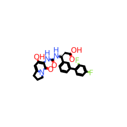 O=C(O)C[C@H](NC(=O)Nc1c(O)cc2n(c1=O)CCC2)c1cccc(-c2ccc(F)cc2F)c1